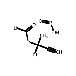 O=PO.[Li][C](=O)OC(C)(C#C)CC